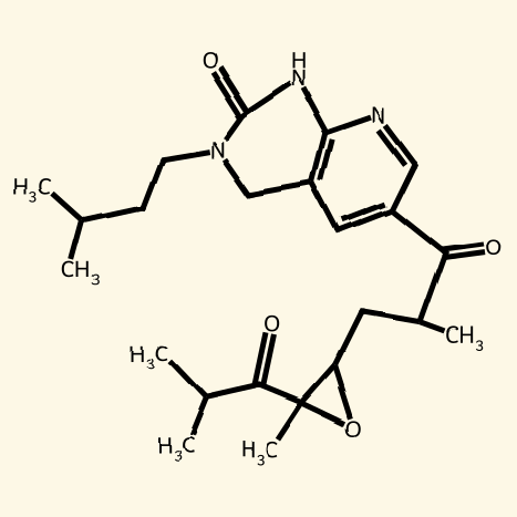 CC(C)CCN1Cc2cc(C(=O)C(C)CC3OC3(C)C(=O)C(C)C)cnc2NC1=O